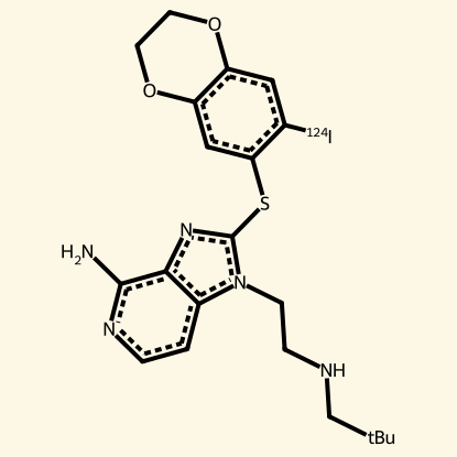 CC(C)(C)CNCCn1c(Sc2cc3c(cc2[124I])OCCO3)nc2c(N)nccc21